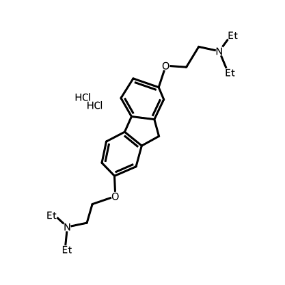 CCN(CC)CCOc1ccc2c(c1)Cc1cc(OCCN(CC)CC)ccc1-2.Cl.Cl